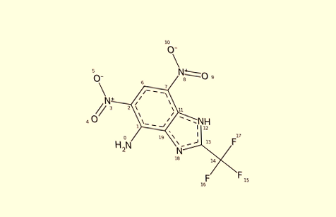 Nc1c([N+](=O)[O-])cc([N+](=O)[O-])c2[nH]c(C(F)(F)F)nc12